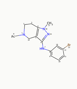 CC(=O)N1CCc2c(c(Nc3cccc(Br)c3)nn2C)C1